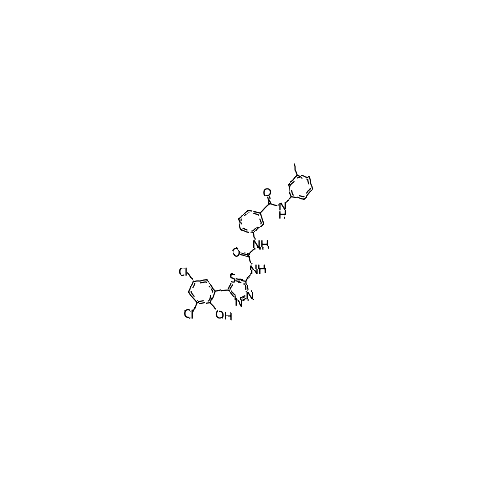 Cc1cccc(NC(=O)c2cccc(NC(=O)Nc3nnc(-c4cc(Cl)cc(Cl)c4O)s3)c2)c1